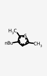 CCCCc1cc(C)sc1C